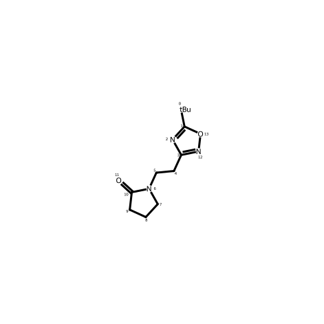 CC(C)(C)c1nc(CCN2CCCC2=O)no1